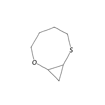 C1CCSC2CC2OC1